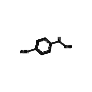 CC(=O)Nc1ccc(NC=O)cc1